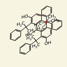 CC(C)(c1ccccc1)c1ccc(O)c(C(C)(C)c2ccccc2)c1C(c1c(C(C)(C)c2ccccc2)ccc(O)c1C(C)(C)c1ccccc1)C(C)(C)C